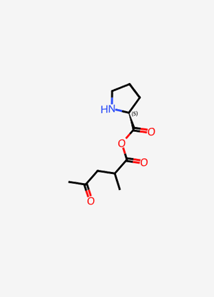 CC(=O)CC(C)C(=O)OC(=O)[C@@H]1CCCN1